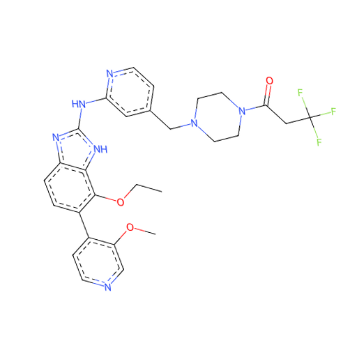 CCOc1c(-c2ccncc2OC)ccc2nc(Nc3cc(CN4CCN(C(=O)CC(F)(F)F)CC4)ccn3)[nH]c12